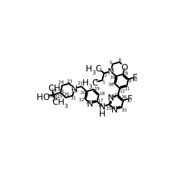 CCC(C)N1CCOc2c(F)cc(-c3nc(Nc4ccc(CN5CCC(C(C)(C)O)CC5)cn4)ncc3F)cc21